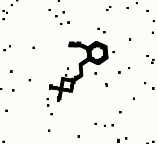 CNc1ccccc1CCN1CC(F)(F)C1